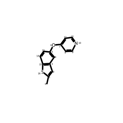 Cc1cc2cc(Oc3c[c]ncc3)ccc2s1